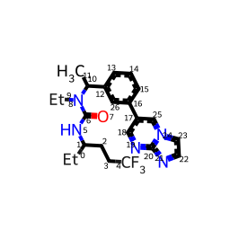 CCC(CCC(F)(F)F)NC(=O)N(CC)C(C)c1cccc(-c2cnc3nccn3c2)c1